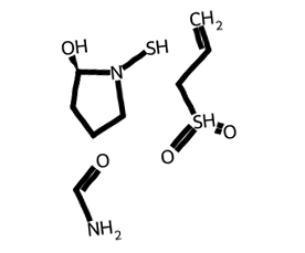 C=CC[SH](=O)=O.NC=O.O[C@@H]1CCCN1S